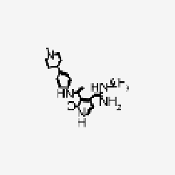 C=C(Nc1ccc(C2CCN(C)CC2)cc1)c1c(/C=C(\N)NCC(F)(F)F)cc[nH]c1=O